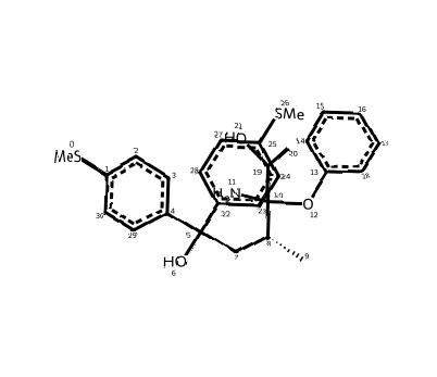 CSc1ccc(C(O)(C[C@@H](C)C(N)(Oc2ccccc2)C(C)O)c2ccc(SC)cc2)cc1